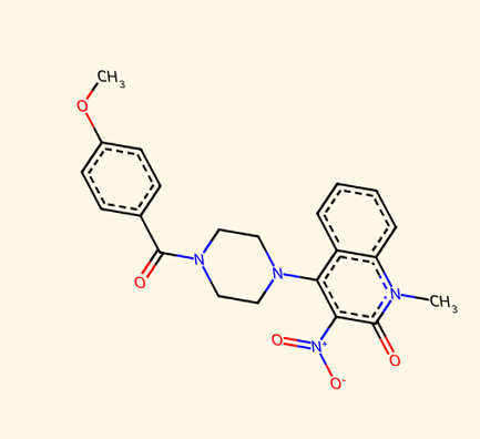 COc1ccc(C(=O)N2CCN(c3c([N+](=O)[O-])c(=O)n(C)c4ccccc34)CC2)cc1